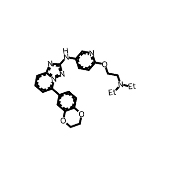 CCN(CC)CCOc1ccc(Nc2nc3cccc(-c4ccc5c(c4)OCCO5)n3n2)cn1